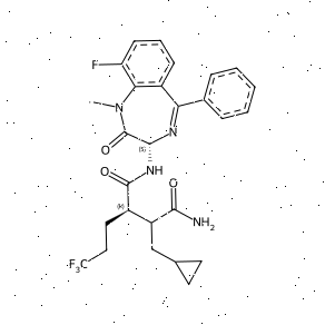 [CH2]N1C(=O)[C@@H](NC(=O)[C@H](CCC(F)(F)F)C(CC2CC2)C(N)=O)N=C(c2ccccc2)c2cccc(F)c21